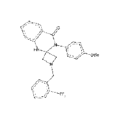 COc1ccc(N2C(=O)c3ccccc3NC23CN(Cc2ccccc2C(F)(F)F)C3)cc1